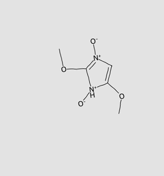 COC1=C[N+]([O-])=C(OC)[NH+]1[O-]